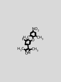 Cc1cc([N+](=O)[O-])cc(C)c1Oc1cc(F)cc(-c2c(C)noc2C)c1